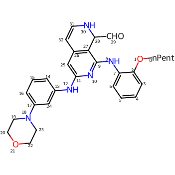 CCCCCOc1ccccc1Nc1nc(Nc2cccc(N3CCOCC3)c2)cc2c1C(C=O)NC=C2